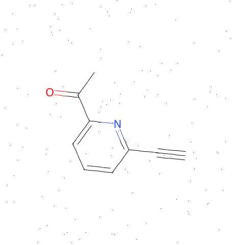 C#Cc1cccc(C(C)=O)n1